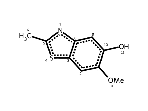 COc1cc2sc(C)nc2cc1O